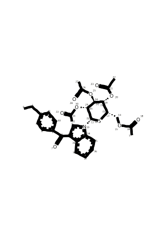 CCc1ccc(C(=O)c2cn([C@H]3S[C@@H](COC(C)=O)[C@@H](OC(C)=O)[C@H](OC(C)=O)[C@H]3OC(C)=O)c3ccccc23)cc1